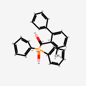 Cc1cccc(-c2ccccc2)c1C(=O)P(=O)(c1ccccc1)c1ccccc1